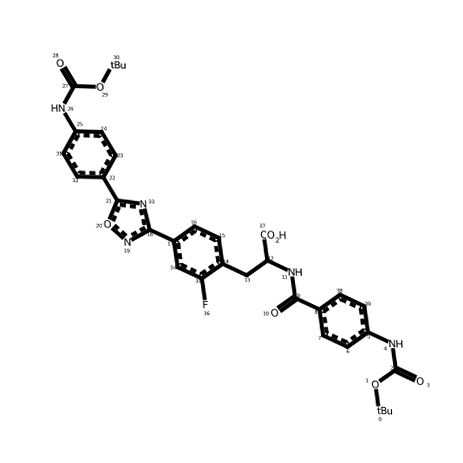 CC(C)(C)OC(=O)Nc1ccc(C(=O)NC(Cc2ccc(-c3noc(-c4ccc(NC(=O)OC(C)(C)C)cc4)n3)cc2F)C(=O)O)cc1